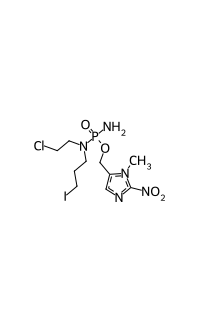 Cn1c(COP(N)(=O)N(CCCl)CCCI)cnc1[N+](=O)[O-]